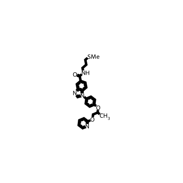 CSCCCNC(=O)c1ccc2c(c1)ncn2-c1ccc(OC(C)COc2ccccn2)cc1